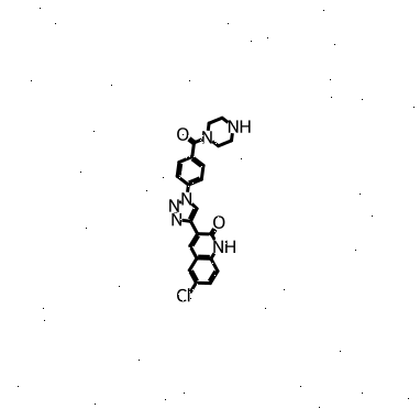 O=C(c1ccc(-n2cc(-c3cc4cc(Cl)ccc4[nH]c3=O)nn2)cc1)N1CCNCC1